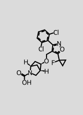 O=C(O)N1C[C@@H]2C[C@H]1C[C@H]2OCc1c(-c2c(Cl)cccc2Cl)noc1C1(F)CC1